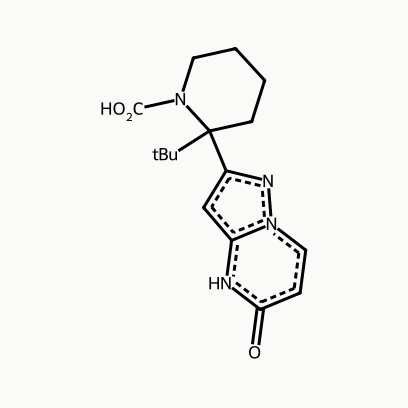 CC(C)(C)C1(c2cc3[nH]c(=O)ccn3n2)CCCCN1C(=O)O